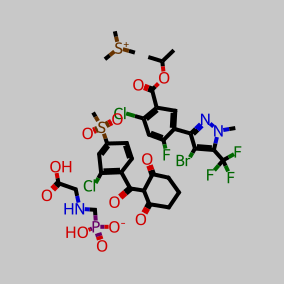 CC(C)OC(=O)c1cc(-c2nn(C)c(C(F)(F)F)c2Br)c(F)cc1Cl.CS(=O)(=O)c1ccc(C(=O)C2C(=O)CCCC2=O)c(Cl)c1.C[S+](C)C.O=C(O)CNCP(=O)([O-])O